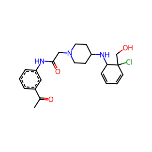 CC(=O)c1cccc(NC(=O)CN2CCC(NC3C=CC=CC3(Cl)CO)CC2)c1